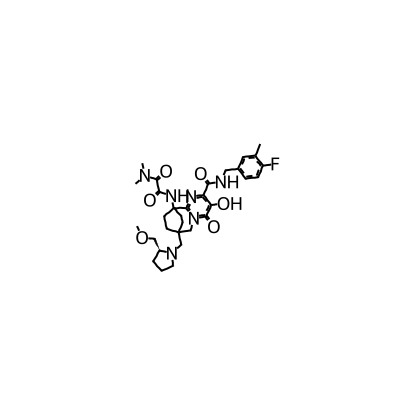 COC[C@@H]1CCCN1CC12CCC(NC(=O)C(=O)N(C)C)(CC1)c1nc(C(=O)NCc3ccc(F)c(C)c3)c(O)c(=O)n1C2